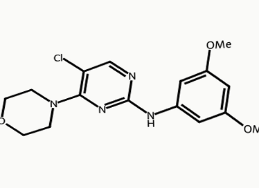 COc1cc(Nc2ncc(Cl)c(N3CCOCC3)n2)cc(OC)c1